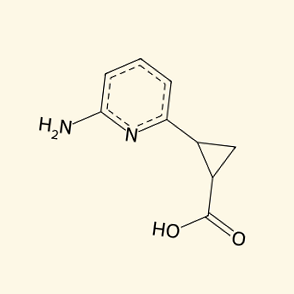 Nc1cccc(C2CC2C(=O)O)n1